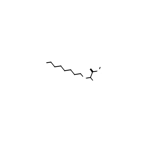 CCCCCCCCOC(C)C(=O)OC